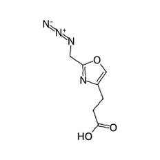 [N-]=[N+]=NCc1nc(CCC(=O)O)co1